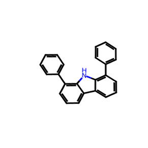 c1ccc(-c2cccc3c2[nH]c2c(-c4ccccc4)cccc23)cc1